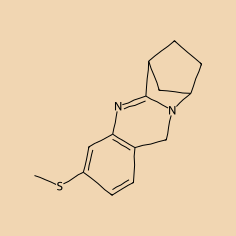 CSc1ccc2c(c1)N=C1C3CCC(C3)N1C2